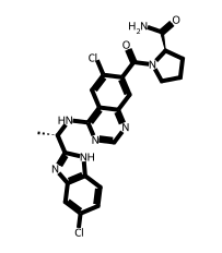 C[C@H](Nc1ncnc2cc(C(=O)N3CCC[C@@H]3C(N)=O)c(Cl)cc12)c1nc2cc(Cl)ccc2[nH]1